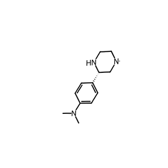 CN(C)c1ccc([C@H]2C[N]CCN2)cc1